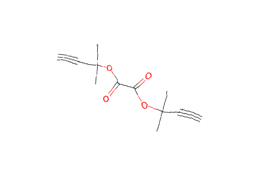 C#CC(C)(C)OC(=O)C(=O)OC(C)(C)C#C